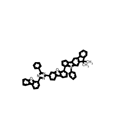 CC1(C)c2ccccc2-c2cc3c4cccc(-c5cccc6c5oc5cc(-c7nc(-c8ccccc8)nc(-c8cccc9c8oc8ccccc89)n7)ccc56)c4n(-c4ccccc4)c3cc21